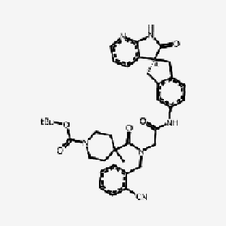 CC(C)(C)OC(=O)N1CCC(C)(C(=O)N(CC(=O)Nc2ccc3c(c2)C[C@@]2(C3)C(=O)Nc3ncccc32)Cc2ccccc2C#N)CC1